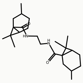 CC1CCC2C(C)(C)C2(C(=O)NCCNC(=O)C23CC(C)CCC2C3(C)C)C1